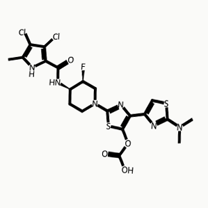 Cc1[nH]c(C(=O)N[C@@H]2CCN(c3nc(-c4csc(N(C)C)n4)c(OC(=O)O)s3)C[C@@H]2F)c(Cl)c1Cl